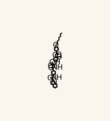 CCCCCCCOc1ccc(C(=O)Oc2ccc(CC(NC(=O)c3ccc(NC(=O)c4ccc5ccccc5n4)cc3)C(=O)O)cc2OC)cc1